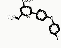 C=Cc1cc(C(=O)O)cc(-c2ccc(Oc3ccc(F)cc3)cc2)n1